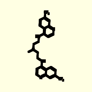 CN(CCNc1ccnc2cc(C(F)(F)F)ccc12)CCNc1ccnc2cc(C(F)(F)F)ccc12